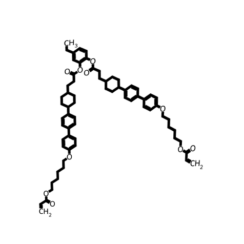 C=CC(=O)OCCCCCCOc1ccc(-c2ccc(C3CCC(CCC(=O)Oc4ccc(CC)cc4OC(=O)CCC4CCC(c5ccc(-c6ccc(OCCCCCCOC(=O)C=C)cc6)cc5)CC4)CC3)cc2)cc1